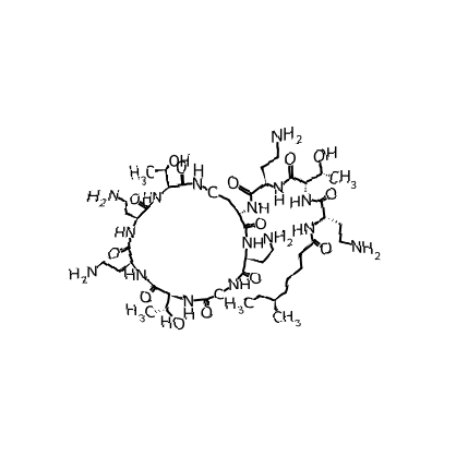 CC[C@H](C)CCCCC(=O)N[C@@H](CCN)C(=O)N[C@H](C(=O)N[C@H](CCN)C(=O)N[C@H]1CCNC(=O)[C@H]([C@@H](C)O)NC(=O)[C@H](CCN)NC(=O)[C@H](CCN)NC(=O)[C@H]([C@@H](C)O)NC(=O)CNC(=O)[C@H](CCN)NC1=O)[C@@H](C)O